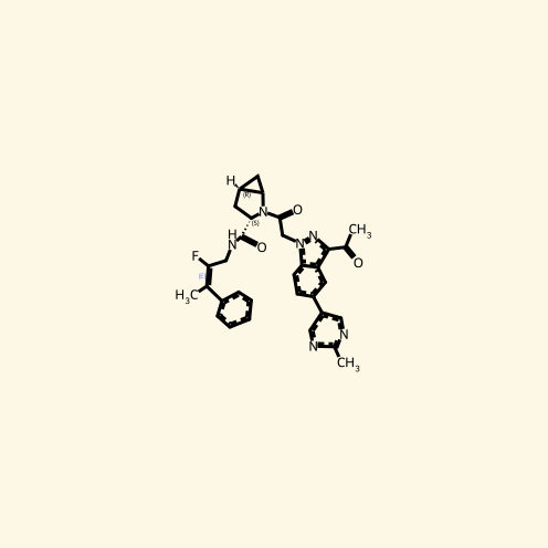 CC(=O)c1nn(CC(=O)N2C3C[C@@H]3C[C@H]2C(=O)NC/C(F)=C(/C)c2ccccc2)c2ccc(-c3cnc(C)nc3)cc12